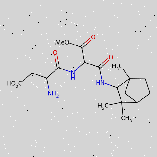 COC(=O)C(NC(=O)C(N)CC(=O)O)C(=O)NC1C2(C)CCC(C2)C1(C)C